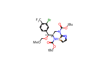 COCO[C@@H](c1ccc(C(F)(F)F)c(Br)c1)[C@@H](CN(C(=O)OC(C)(C)C)c1nccs1)NC(=O)OC(C)(C)C